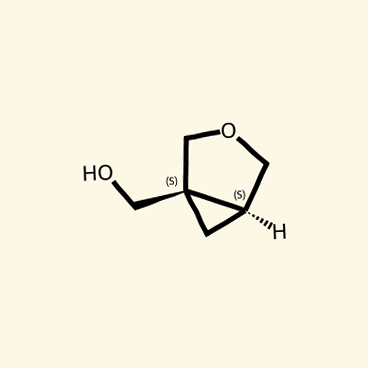 OC[C@@]12COC[C@H]1C2